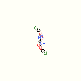 CC1(NC(=O)COc2ccc(Cl)cc2)C=C(c2nc(COc3ccc(Cl)cc3)no2)C1